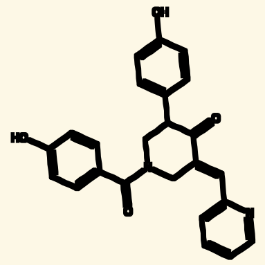 O=C1C(=Cc2ccccn2)CN(C(=O)c2ccc(O)cc2)CC1c1ccc(O)cc1